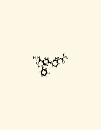 CN(C)C(=O)NC1CCCN(c2cnc(C(N)=O)c(Nc3ccccc3)n2)C1